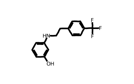 Oc1cccc(NCCc2ccc(C(F)(F)F)cc2)c1